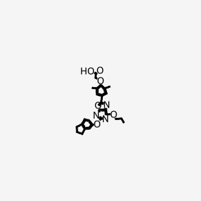 CCCOc1nc(Oc2ccc3c(c2)CCC3)nc2oc(-c3cc(C)c(OCC(=O)O)c(C)c3)nc12